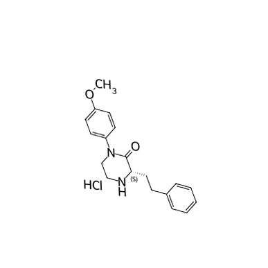 COc1ccc(N2CCN[C@@H](CCc3ccccc3)C2=O)cc1.Cl